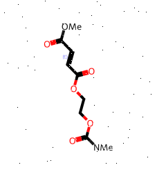 CNC(=O)OCCOC(=O)/C=C/C(=O)OC